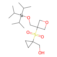 CC(C)[Si](OCC1(S(=O)(=O)C2(CO)CC2)COC1)(C(C)C)C(C)C